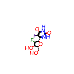 O=c1[nH]c([C@@H]2O[C@H](CO)[C@@H](O)[C@H]2F)c(I)c(=O)[nH]1